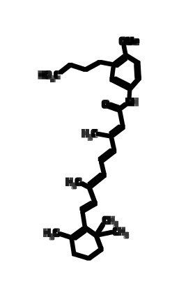 COc1ccc(NC(=O)/C=C(C)/C=C/C=C(C)/C=C/C2=C(C)CCCC2(C)C)cc1CCCC(=O)O